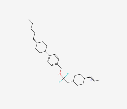 C/C=C/[C@H]1CC[C@H](CC(F)(F)OCc2ccc([C@H]3CC[C@H](CCCCC)CC3)cc2)CC1